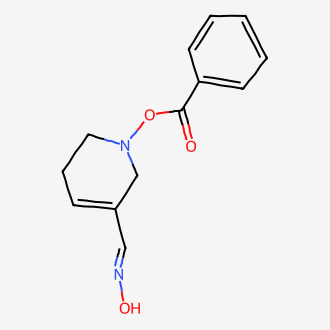 O=C(ON1CCC=C(C=NO)C1)c1ccccc1